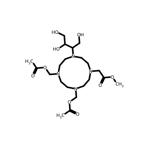 COC(=O)CN1CCN(COC(C)=O)CCN(COC(C)=O)CCN(C(CO)C(O)CO)CC1